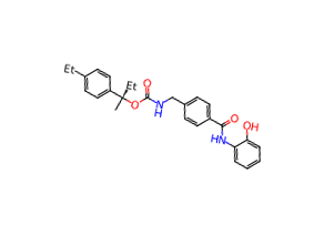 CCc1ccc([C@](C)(CC)OC(=O)NCc2ccc(C(=O)Nc3ccccc3O)cc2)cc1